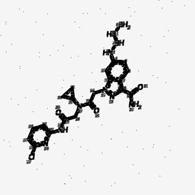 BBBNc1ccc2c(C(N)=O)nn(CC(=O)N(CC(=O)Nc3cccc(Cl)n3)C3CC3)c2c1